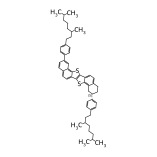 CC(C)CCCC(C)CCc1ccc(-c2ccc3ccc4c(sc5c6ccc7c(c6sc45)C[C@@H](c4ccc(CCC(C)CCCC(C)C)cc4)CC7)c3c2)cc1